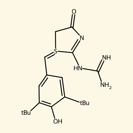 CC(C)(C)c1cc(/C=S2/CC(=O)N=C2NC(=N)N)cc(C(C)(C)C)c1O